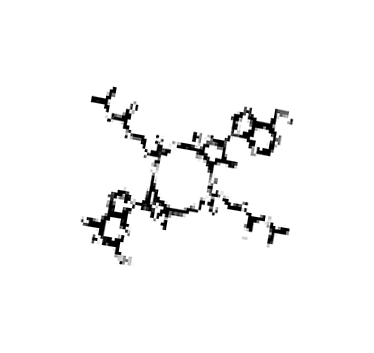 CC(C)OC(=O)OCSP1(=O)OC[C@H]2O[C@@H](n3cnc4c(N)ncnc43)C(F)C2OP(=O)(SCOC(=O)OC(C)C)OC[C@H]2O[C@@H](n3cnc4c(=O)[nH]c(N)nc43)C(O1)C2O